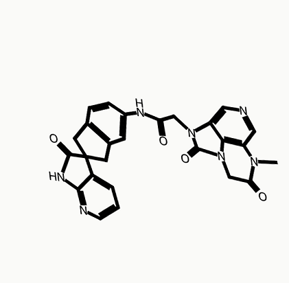 CN1C(=O)Cn2c(=O)n(CC(=O)Nc3ccc4c(c3)CC3(C4)C(=O)Nc4ncccc43)c3cncc1c32